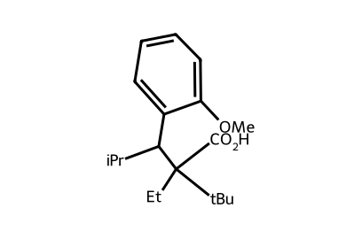 CCC(C(=O)O)(C(c1ccccc1OC)C(C)C)C(C)(C)C